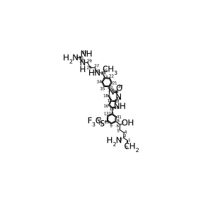 C=C[C@H](N)CC[C@H](O)c1cc(SC(F)(F)F)cc(-c2cc3cn(-c4ccc([C@H](C)NCCCNC(=N)N)cc4)c(=O)nc3[nH]2)c1